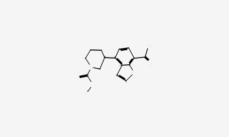 CC(C)(C)OC(=O)N1CCCC(c2ccc(C(N)=O)c3[nH]ccc23)C1